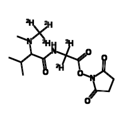 [2H]C([2H])(NC(=O)C(C(C)C)N(C)C([2H])([2H])[2H])C(=O)ON1C(=O)CCC1=O